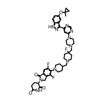 CC1(Oc2ccc3[nH]nc(-c4cc(N5CCN(CC6(F)CCN(CC7CCN(c8c(F)cc9c(c8F)CN(C8CCC(=O)NC8=O)C9=O)CC7)CC6)CC5)ncn4)c3c2)CC1